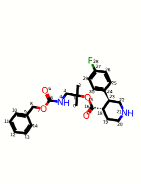 CC(C)(CNC(=O)OCc1ccccc1)OC(=O)[C@H]1CCNC[C@@H]1c1ccc(F)cc1